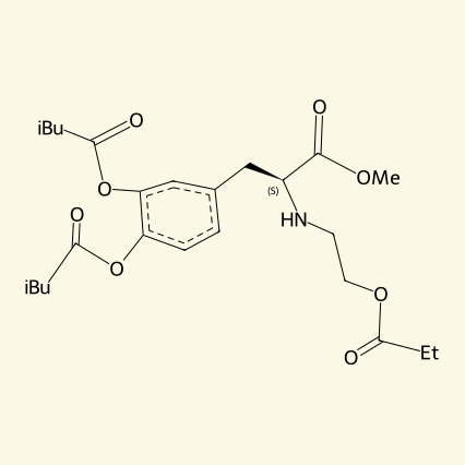 CCC(=O)OCCN[C@@H](Cc1ccc(OC(=O)C(C)CC)c(OC(=O)C(C)CC)c1)C(=O)OC